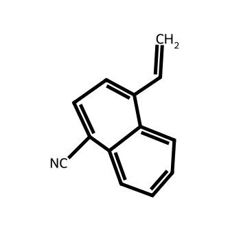 C=Cc1ccc(C#N)c2ccccc12